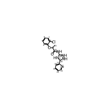 CC(Oc1ccccc1Cl)C(=O)NC1NNC(c2ccccn2)N1